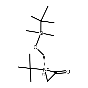 CC(C)(C)[N@+]1(CO[Si](C)(C)C(C)(C)C)CC1=O